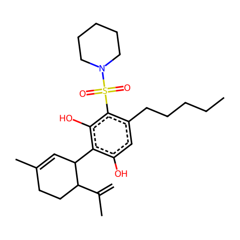 C=C(C)C1CCC(C)=CC1c1c(O)cc(CCCCC)c(S(=O)(=O)N2CCCCC2)c1O